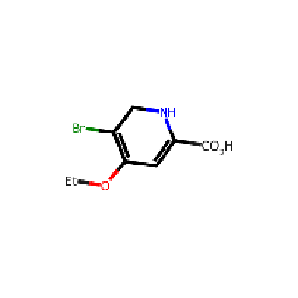 CCOC1=C(Br)CNC(C(=O)O)=C1